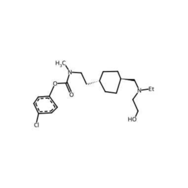 CCN(CCO)C[C@H]1CC[C@H](CCN(C)C(=O)Oc2ccc(Cl)cc2)CC1